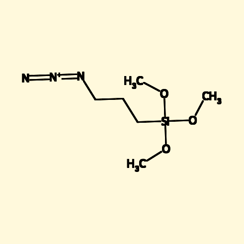 CO[Si](CCCN=[N+]=[N-])(OC)OC